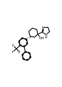 OC1(C2=NCCN2)CCC[C@@H](c2ccc(C(F)(F)F)c(-c3ccccc3)c2)C1